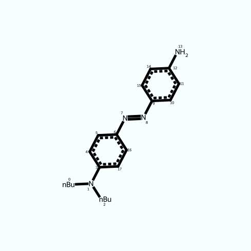 CCCCN(CCCC)c1ccc(/N=N/c2ccc(N)cc2)cc1